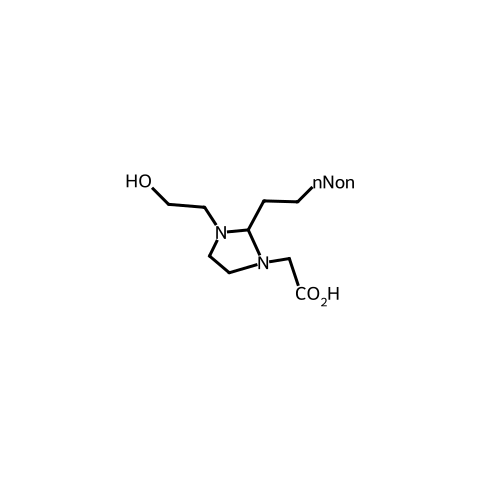 CCCCCCCCCCCC1N(CCO)CCN1CC(=O)O